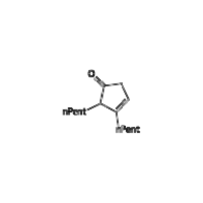 CCCCCC1=CCC(=O)C1CCCCC